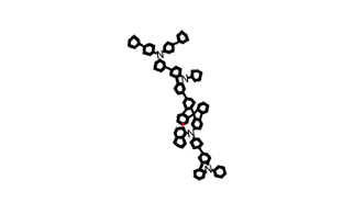 c1ccc(-c2ccc(N(c3ccc(-c4ccccc4)cc3)c3cccc(-c4ccc5c(c4)c4ccc(-c6ccc7c(c6)-c6ccccc6C76c7ccccc7-c7ccc(N(c8ccc(-c9ccc%10c(c9)c9ccccc9n%10-c9ccccc9)cc8)c8cccc9ccccc89)cc76)cc4n5-c4ccccc4)c3)cc2)cc1